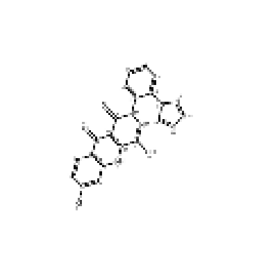 O=c1c2ccc(Cl)cc2[nH]c2c(O)nn(-c3ccccc3-n3cnnn3)c(=O)c12